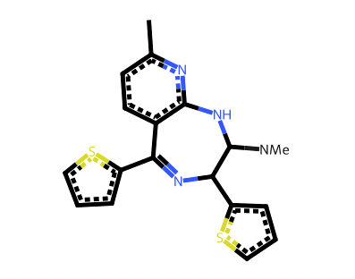 CNC1Nc2nc(C)ccc2C(c2cccs2)=NC1c1cccs1